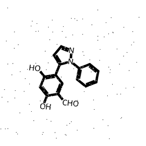 O=Cc1cc(-c2ccnn2-c2ccccc2)c(O)cc1O